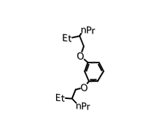 CCCC(CC)COc1cccc(OCC(CC)CCC)c1